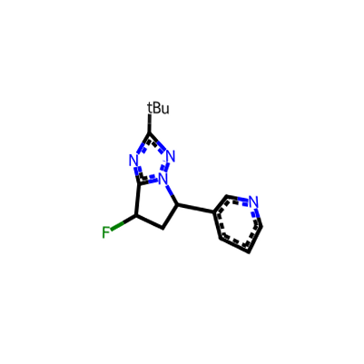 CC(C)(C)c1nc2n(n1)C(c1cccnc1)CC2F